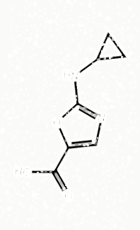 O=C(O)c1cnc(NC2CC2)o1